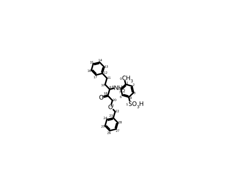 Cc1ccc(S(=O)(=O)O)cc1.NC(CCc1ccccc1)C(=O)COCc1ccccc1